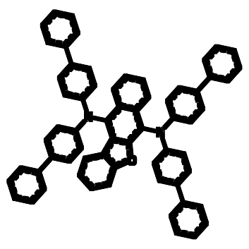 c1ccc(-c2ccc(N(c3ccc(-c4ccccc4)cc3)c3c4ccccc4c(N(c4ccc(-c5ccccc5)cc4)c4ccc(-c5ccccc5)cc4)c4c3oc3ccccc34)cc2)cc1